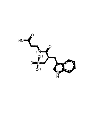 O=C(O)CCNC(=O)C(Cc1c[nH]c2ccccc12)CP(=O)(O)O